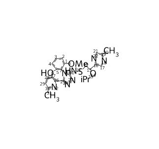 COc1cccc(O)c1-n1c(NSCC(OC(C)C)c2cnc(C)cn2)nnc1C1=C=C=CC(C)=N1